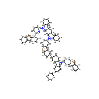 c1ccc(-c2ccc3c(c2)c2cc(-c4ccc5sc6ccc(-n7c8ccccc8c8cc9c%10ccccc%10n(-c%10cccc(-c%11cccc%12c%11sc%11ccccc%11%12)n%10)c9cc87)cc6c5c4)ccc2n3-c2ccc3sc4ccccc4c3c2)cc1